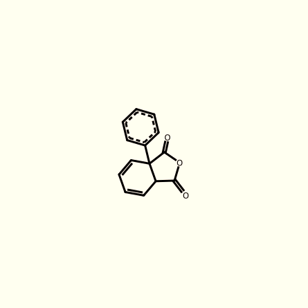 O=C1OC(=O)C2(c3ccccc3)C=CC=CC12